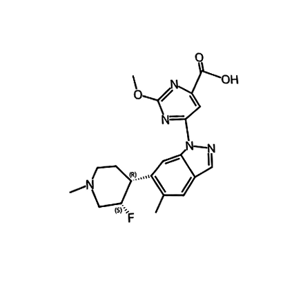 COc1nc(C(=O)O)cc(-n2ncc3cc(C)c([C@H]4CCN(C)C[C@H]4F)cc32)n1